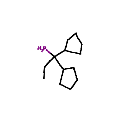 CCC(P)(C1CCCC1)C1CCCC1